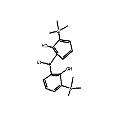 CCP(c1cccc([Si](C)(C)C)c1O)c1cccc([Si](C)(C)C)c1O